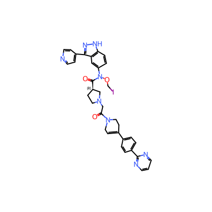 O=C(CN1CC[C@@H](C(=O)N(OCI)c2ccc3[nH]nc(-c4ccncc4)c3c2)C1)N1CC=C(c2ccc(-c3ncccn3)cc2)CC1